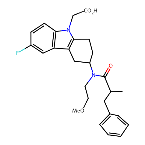 COCCN(C(=O)C(C)Cc1ccccc1)C1CCc2c(c3cc(F)ccc3n2CC(=O)O)C1